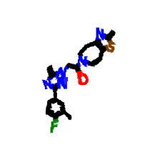 Cc1nc2c(s1)CCN(C(=O)Cn1nc(-c3ccc(F)c(C)c3)nc1C)CC2